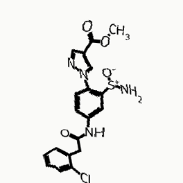 COC(=O)c1cnn(-c2ccc(NC(=O)Cc3ccccc3Cl)cc2[S+](N)[O-])c1